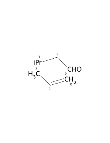 C=CC.CC(C)CC=O